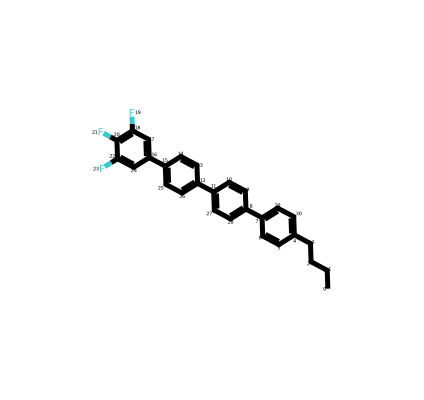 CCCCc1ccc(-c2ccc(-c3ccc(-c4cc(F)c(F)c(F)c4)cc3)cc2)cc1